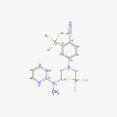 CN(CCN(CC(F)(F)F)c1ccc(C#N)c(C(F)(F)F)c1)c1ncccn1